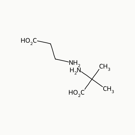 CC(C)(N)C(=O)O.NCCC(=O)O